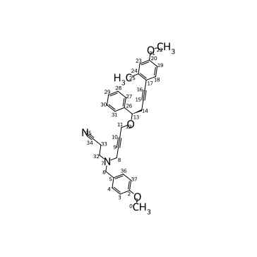 COc1ccc(CN(CC#CCO[C@H](CC#Cc2ccc(OC)cc2C)c2ccccc2)CCC#N)cc1